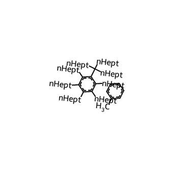 CCCCCCCc1c(CCCCCCC)c(CCCCCCC)c(C(CCCCCCC)(CCCCCCC)CCCCCCC)c(CCCCCCC)c1CCCCCCC.Cc1ccccc1